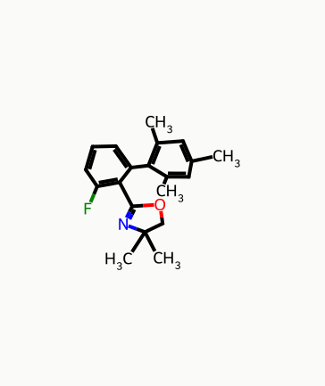 Cc1cc(C)c(-c2cccc(F)c2C2=NC(C)(C)CO2)c(C)c1